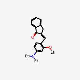 CCOc1cc(N(CC)CC)ccc1C=C1Cc2ccccc2C1=O